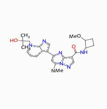 CNc1cc(-c2cnc3n(CC(C)(C)O)cccc2-3)nc2c(C(=O)NC3CCC3OC)cnn12